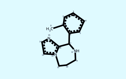 Cc1ccccc1C1NCCCn2ccnc21